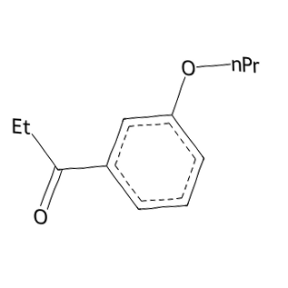 CCCOc1cccc(C(=O)CC)c1